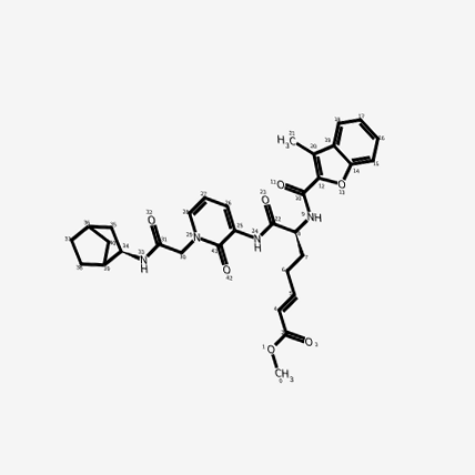 COC(=O)/C=C/CC[C@H](NC(=O)c1oc2ccccc2c1C)C(=O)Nc1cccn(CC(=O)N[C@@H]2CC3CCC2C3)c1=O